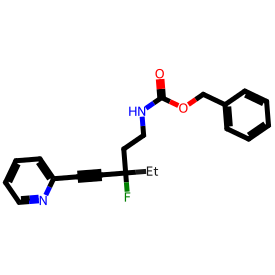 CCC(F)(C#Cc1ccccn1)CCNC(=O)OCc1ccccc1